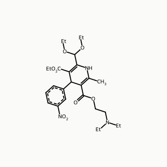 CCOC(=O)C1=C(C(OCC)OCC)NC(C)=C(C(=O)OCCN(CC)CC)C1c1cccc([N+](=O)[O-])c1